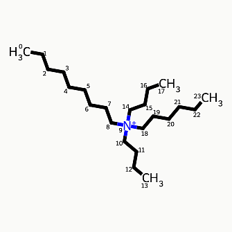 CCCCCCCCC[N+](CCCC)(CCCC)CCCCCC